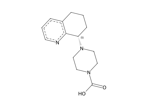 O=C(O)N1CCN([C@H]2CCCc3cccnc32)CC1